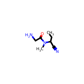 CCC(C#N)N(C)C(=O)CN